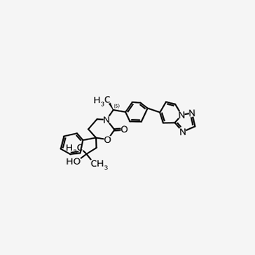 C[C@@H](c1ccc(-c2ccn3ncnc3c2)cc1)N1CCC(CC(C)(C)O)(c2ccccc2)OC1=O